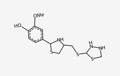 COc1cc(C2NC(CSC3NNCS3)CS2)ccc1O